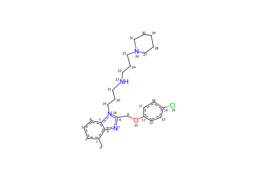 Cc1cccc2c1nc(COc1ccc(Cl)cc1)n2CCCNCCCN1CCCCC1